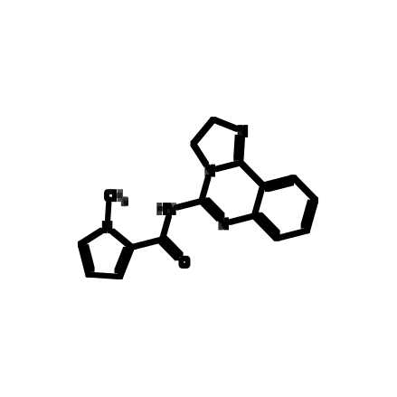 Cn1cccc1C(=O)NC1=Nc2ccccc2C2=NCCN12